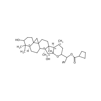 CC(C)C(OC(=O)C1CCC1)C1C[C@@H](C)[C@H]2C(O1)[C@H](O)[C@@]1(C)C3CC[C@H]4C(C)(C)C(O)CCC45CC35CCC21C